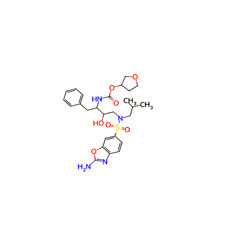 CC(C)CN(CC(O)C(Cc1ccccc1)NC(=O)OC1CCOC1)S(=O)(=O)c1ccc2nc(N)oc2c1